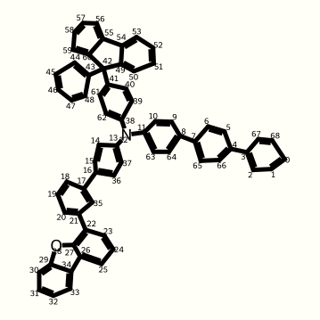 c1ccc(-c2ccc(-c3ccc(N(c4ccc(-c5cccc(-c6cccc7c6oc6ccccc67)c5)cc4)c4ccc(C5(c6ccccc6)c6ccccc6-c6ccccc65)cc4)cc3)cc2)cc1